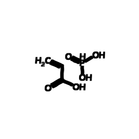 C=CC(=O)O.O=[PH](O)O